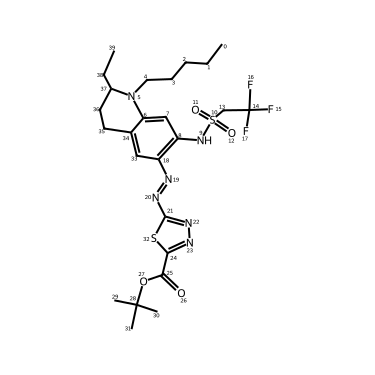 CCCCCN1c2cc(NS(=O)(=O)CC(F)(F)F)c(N=Nc3nnc(C(=O)OC(C)(C)C)s3)cc2CCC1CC